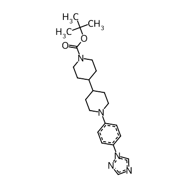 CC(C)(C)OC(=O)N1CCC(C2CCN(c3ccc(-n4cncn4)cc3)CC2)CC1